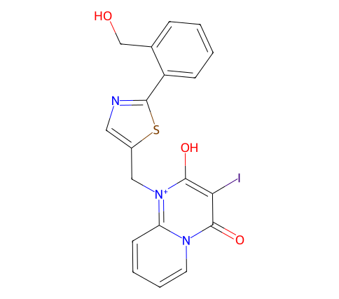 O=c1c(I)c(O)[n+](Cc2cnc(-c3ccccc3CO)s2)c2ccccn12